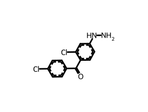 NNc1ccc(C(=O)c2ccc(Cl)cc2)c(Cl)c1